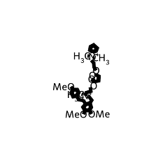 COc1ccc(CC2c3cc(OC)c(OC)cc3CC[N+]2(C)CCCOC(=O)/C=C\C(=O)OCCC[N+](C)(C)c2ccccc2)cc1